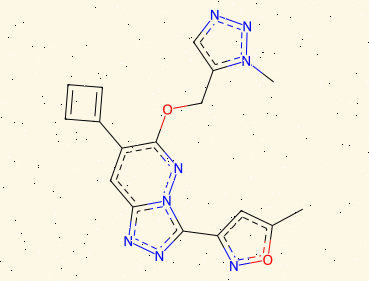 Cc1cc(-c2nnc3cc(C4=CC=C4)c(OCc4cnnn4C)nn23)no1